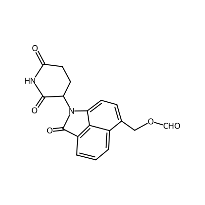 O=COCc1ccc2c3c(cccc13)C(=O)N2C1CCC(=O)NC1=O